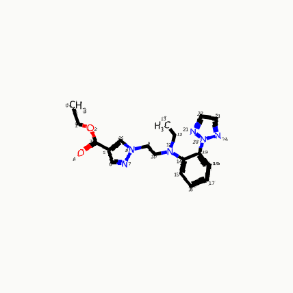 CCOC(=O)c1cnn(CCN(CC)c2ccccc2-n2nccn2)c1